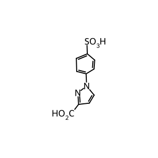 O=C(O)c1ccn(-c2ccc(S(=O)(=O)O)cc2)n1